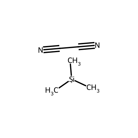 C[Si](C)C.N#CC#N